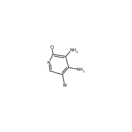 Nc1c(Br)cnc(Cl)c1N